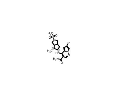 C[C@@H]1C2CN(S(C)(=O)=O)CC2C[C@H]1Nc1c(C(N)=O)cnn2cc(Br)cc12